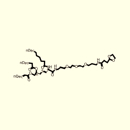 CCCCCCCCCCCCCCCC(=O)N[C@@H](CSC[C@@H](COC(=O)CCCCCCCCCCC)OC(=O)CCCCCCCCCCC)C(=O)NCCCOCCOCCOCCCNC(=O)CCC1OCCO1